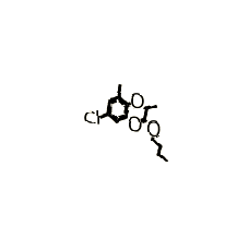 CCCCOC(=O)C(C)Oc1ccc(Cl)cc1C